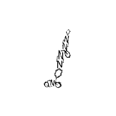 O=C(CN1CCN(c2ccc(C(=O)N3CCOCC3)cc2)CC1)N1CCN(C2CCC2)CC1